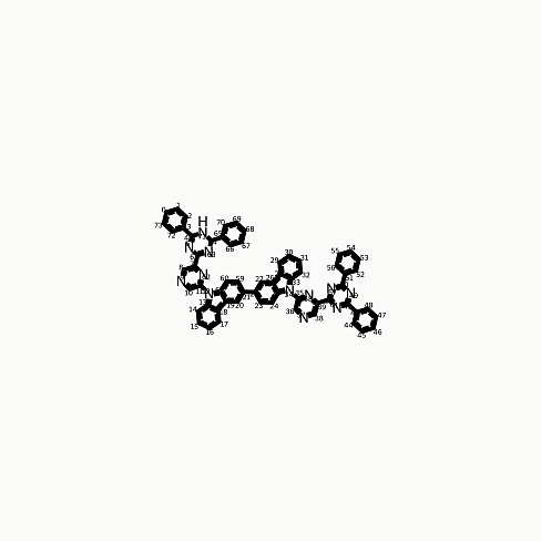 c1ccc(C2=NC(c3cncc(-n4c5ccccc5c5cc(-c6ccc7c(c6)c6ccccc6n7-c6cncc(-c7nc(-c8ccccc8)nc(-c8ccccc8)n7)n6)ccc54)n3)=NC(c3ccccc3)N2)cc1